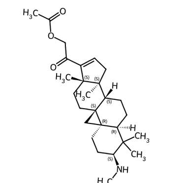 CN[C@H]1CC[C@]23C[C@]24CC[C@]2(C)C(C(=O)COC(C)=O)=CC[C@@]2(C)[C@@H]4CC[C@H]3C1(C)C